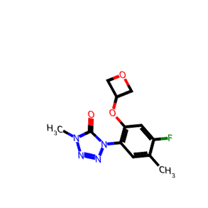 Cc1cc(-n2nnn(C)c2=O)c(OC2COC2)cc1F